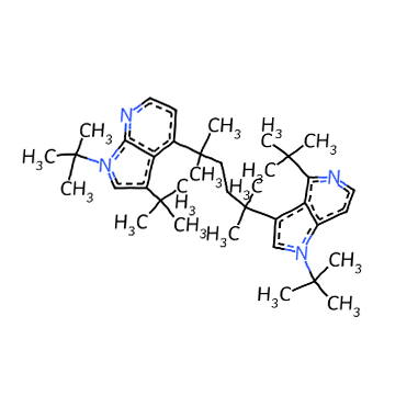 CC(C)(C)c1nccc2c1c(C(C)(C)CCC(C)(C)c1ccnc3c1c(C(C)(C)C)cn3C(C)(C)C)cn2C(C)(C)C